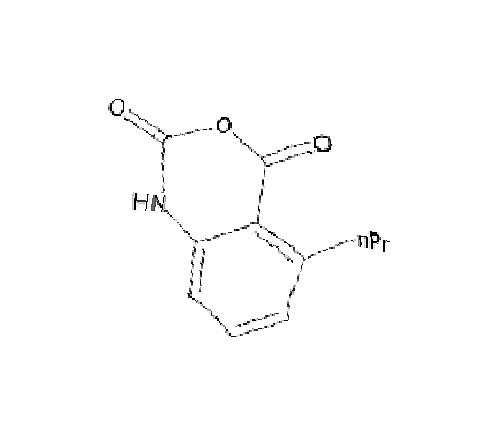 CCCc1cccc2[nH]c(=O)oc(=O)c12